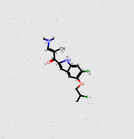 CC(F)COc1cc2cc(C(=O)/C(C#N)=C/N(C)C)[nH]c2cc1Br